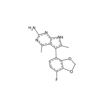 Cc1[nH]c2nc(N)nc(C)c2c1-c1ccc(F)c2c1OCO2